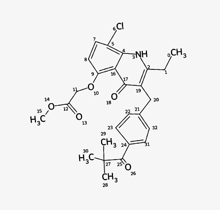 CCc1[nH]c2c(Cl)ccc(OCC(=O)OC)c2c(=O)c1Cc1ccc(C(=O)C(C)(C)C)cc1